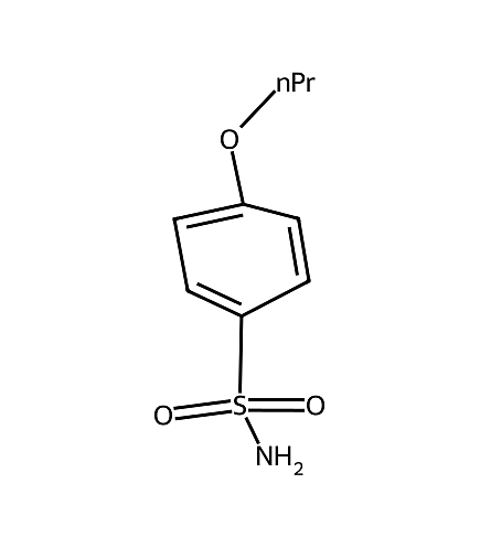 [CH2]CCOc1ccc(S(N)(=O)=O)cc1